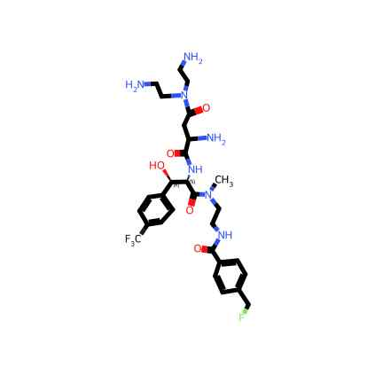 CN(CCNC(=O)c1ccc(CF)cc1)C(=O)[C@@H](NC(=O)C(N)CC(=O)N(CCN)CCN)[C@H](O)c1ccc(C(F)(F)F)cc1